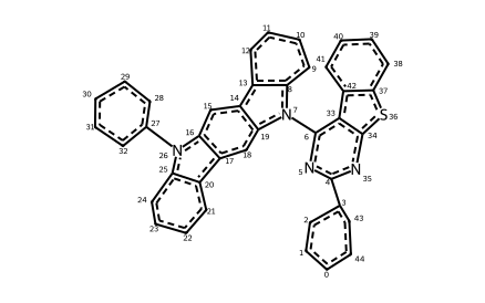 c1ccc(-c2nc(-n3c4ccccc4c4cc5c(cc43)c3ccccc3n5-c3ccccc3)c3c(n2)sc2ccccc23)cc1